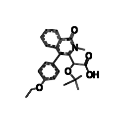 CCOc1ccc(-c2c(C(OC(C)(C)C)C(=O)O)n(C)c(=O)c3ccccc23)cc1